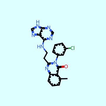 Cc1cccc2nc(CCNc3ncnc4[nH]cnc34)n(-c3cccc(Cl)c3)c(=O)c12